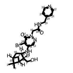 CC1(C)[C@H]2C[C@@H]1[C@@H](CO)[C@H](Nc1cnn(CC(=O)NCc3ccncc3)c(=O)c1Br)C2